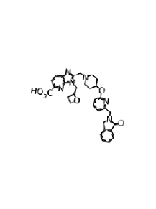 O=C(O)c1ccc2nc(CN3CCC(Oc4cccc(CN5Cc6ccccc6C5=O)n4)CC3)n(CC3CCO3)c2n1